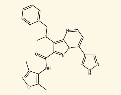 Cc1noc(C)c1NC(=O)c1nn2c(-c3cn[nH]c3)ccnc2c1N(C)Cc1ccccc1